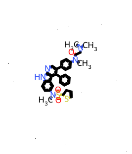 CN(C)CC(=O)N(C)c1ccc(-c2cnc3[nH]c4ccc(N(C)S(=O)(=O)C5CC=CS5)cc4c3c2-c2ccccc2)cc1